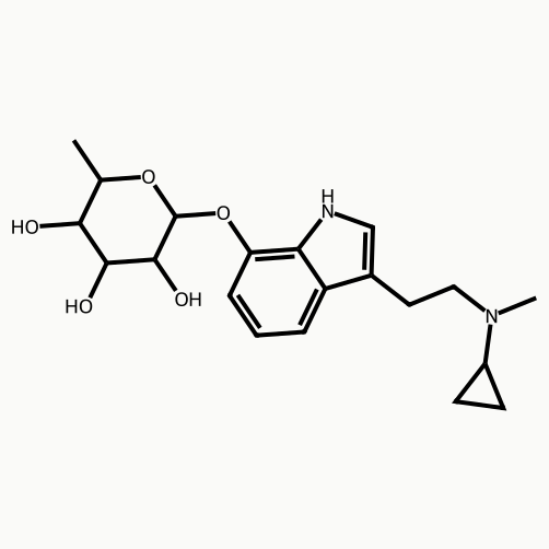 CC1OC(Oc2cccc3c(CCN(C)C4CC4)c[nH]c23)C(O)C(O)C1O